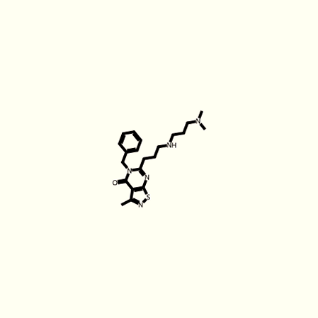 Cc1nsc2nc(CCCNCCCN(C)C)n(Cc3ccccc3)c(=O)c12